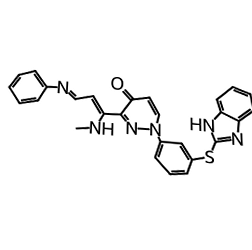 CN/C(=C\C=N\c1ccccc1)c1nn(-c2cccc(Sc3nc4ccccc4[nH]3)c2)ccc1=O